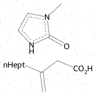 C=C(CCCCCCC)CC(=O)O.Cn1cc[nH]c1=O